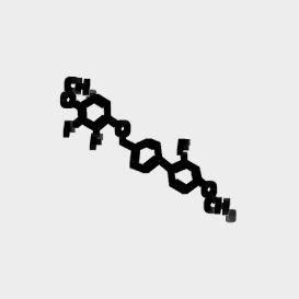 COc1ccc(-c2ccc(COc3ccc(OC)c(F)c3F)cc2)c(F)c1